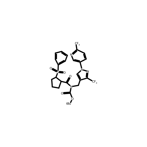 CC(C)(C)OC(=O)N(Cc1cn(-c2ccc(C(F)(F)F)nc2)nc1C(F)(F)F)C(=O)C1CCCC1S(=O)(=O)c1ccccc1